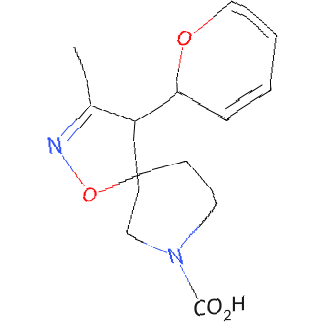 CC1=NOC2(CCN(C(=O)O)C2)C1C1C=CC=CO1